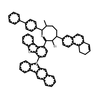 CCC1/C(c2ccc(-n3c4ccccc4c4cc5ccccc5cc43)c3oc4ccccc4c23)=N\C(c2ccc(-c3ccccc3)cc2)C(C)CCC1c1ccc2c3c(ccc2c1)C=CCC3